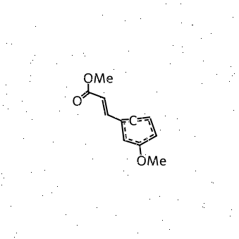 COC(=O)/C=C/c1cccc(OC)c1